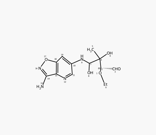 CCO[C@@H](C=O)C(C)(O)C(O)Nc1cnc2c(N)noc2c1